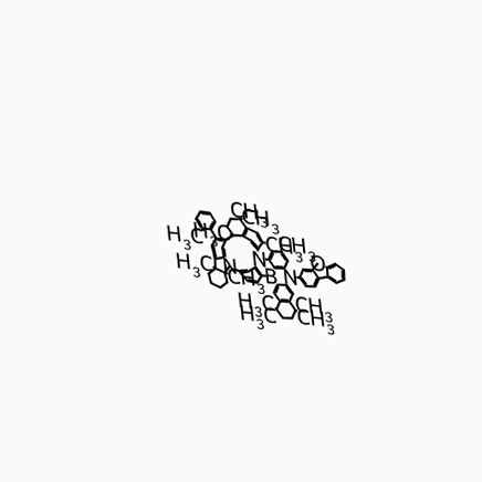 Cc1cc2c3c(c1)N1c4cc5c(cc4C)C(C)(C)CCC5(C)c4cc5c(cc4-c4ccccc4C)C4(C)CCCCC4(C)N5c4ccc(c1c4)B3c1cc3c(cc1N2c1ccc2c(c1)oc1ccccc12)C(C)(C)CCC3(C)C